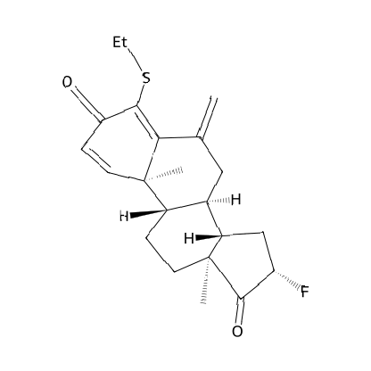 C=C1C[C@@H]2[C@H](CC[C@]3(C)C(=O)[C@@H](F)C[C@@H]23)[C@@]2(C)C=CC(=O)C(SCC)=C12